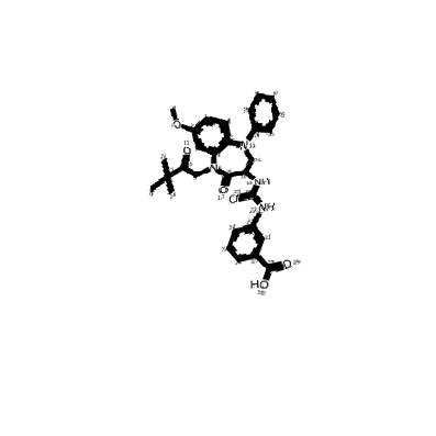 COc1ccc2c(c1)N(CC(=O)C(C)(C)C)C(=O)C(NC(=O)Nc1cccc(C(=O)O)c1)CN2c1ccccc1